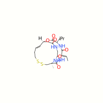 C/C=C1\NC(=O)[C@@]2(C)CSSCC/C=C/[C@H](CC(=O)NCC(=O)N2)OC(=O)C(C(C)C)NC1=O